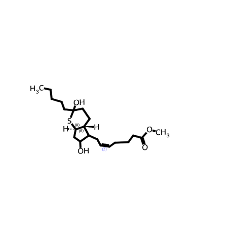 CCCCCC1(O)CC[C@@H]2C(C/C=C\CCCC(=O)OC)C(O)C[C@H]2S1